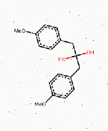 COc1ccc(CC(O)(O)Cc2ccc(OC)cc2)cc1